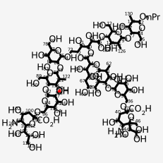 CCCOC1OC(CO)C(OC2OC(CO)C(OC(O)C(O)C(OC(O)C(OC3OC(CO)C(OC4OC(COC5(C(=O)O)CC(O)C(N)C(CO)([C@H](O)CO)O5)C(O)C(O)C4O)C(O)C3C)C(O)C(O)CCO)C(O)CCOC3OC(CO)C(O)C(O)C3OC3OC(CO)C(OC4OC(COC5(C(=O)O)CC(O)C(N)C([C@H](O)[C@H](O)CO)O5)C(O)C(O)C4O)C(O)C3C)C(O)C2C)C(O)C1C